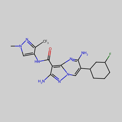 Cn1cc(NC(=O)c2c(N)nn3cc(C4CCCC(F)C4)c(N)nc23)c(C(F)(F)F)n1